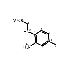 COCNc1ccc(C)cc1N